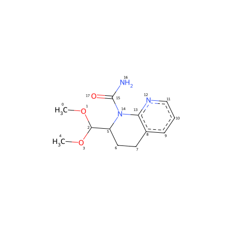 COC(OC)C1CCc2cccnc2N1C(N)=O